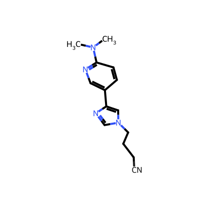 CN(C)c1ccc(-c2cn(CCCC#N)cn2)cn1